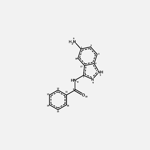 Nc1ccc2[nH]nc(NC(=O)c3ccccc3)c2c1